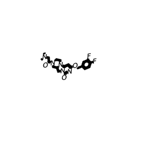 CN(C)CC(=O)N1CCN2c3cc(OCc4ccc(F)c(F)c4)nc(=O)n3CC2C1